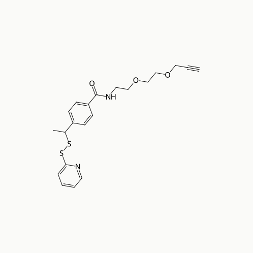 C#CCOCCOCCNC(=O)c1ccc(C(C)SSc2ccccn2)cc1